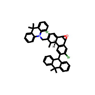 CC1C(CN2c3ccccc3C(C)(C)c3ccccc32)=C(Br)C=C2C3OC3c3cc(Br)c(C4c5ccccc5C(C)(C)c5ccccc54)cc3[C@@H]21